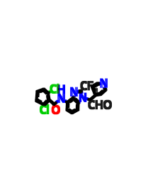 O=CC(c1ccncc1)n1c(C(F)(F)F)nc2c(NC(=O)c3c(Cl)cccc3Cl)cccc21